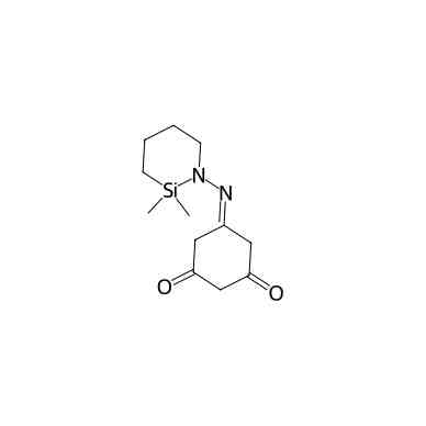 C[Si]1(C)CCCCN1N=C1CC(=O)CC(=O)C1